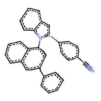 N#Cc1ccc(-[13c]2cc3ccccc3n2-c2cc(-c3ccccc3)cc3ccccc23)cc1